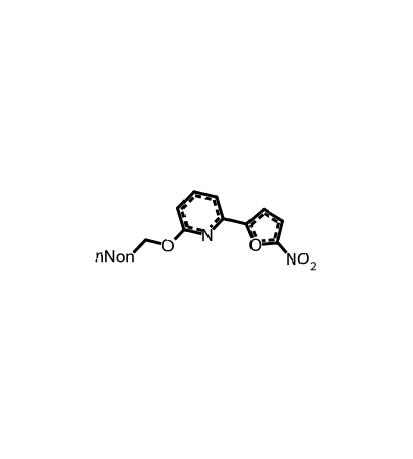 CCCCCCCCCCOc1cccc(-c2ccc([N+](=O)[O-])o2)n1